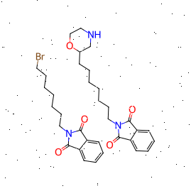 O=C1c2ccccc2C(=O)N1CCCCCCCBr.O=C1c2ccccc2C(=O)N1CCCCCCCC1CNCCO1